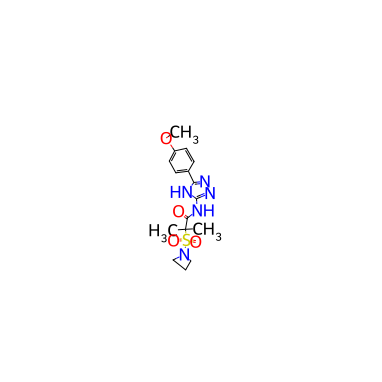 COc1ccc(-c2nnc(NC(=O)C(C)(C)S(=O)(=O)N3CCC3)[nH]2)cc1